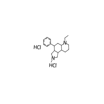 CCN1CCCC2C3CN(C)CC3C(c3ccccc3)CC21.Cl.Cl